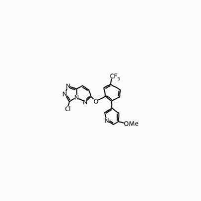 COc1cncc(-c2ccc(C(F)(F)F)cc2Oc2ccc3nnc(Cl)n3n2)c1